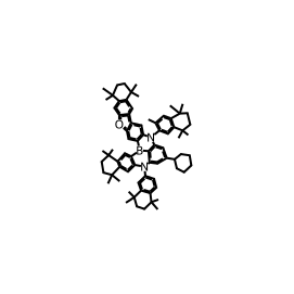 Cc1cc2c(cc1N1c3cc4c(cc3B3c5cc6c(cc5N(c5ccc7c(c5)C(C)(C)CCC7(C)C)c5cc(C7CCCCC7)cc1c53)C(C)(C)CCC6(C)C)oc1cc3c(cc14)C(C)(C)CCC3(C)C)C(C)(C)CCC2(C)C